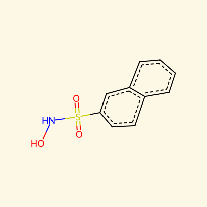 O=S(=O)(NO)c1ccc2ccccc2c1